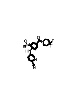 N#Cc1ccc(Nc2ccc(C(=O)N3CCC(F)(F)CC3)cc2[N+](=O)[O-])cn1